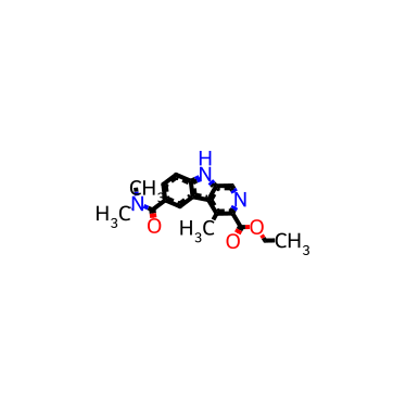 CCOC(=O)c1ncc2[nH]c3ccc(C(=O)N(C)C)cc3c2c1C